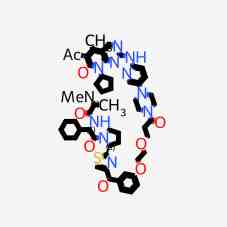 CN[C@@H](C)C(=O)N[C@H](C(=O)N1CCC[C@H]1c1nc(C(=O)c2cccc(OCCOCCC(=O)N3CCN(c4ccc(Nc5ncc6c(C)c(C(C)=O)c(=O)n(C7CCCC7)c6n5)nc4)CC3)c2)cs1)C1CCCCC1